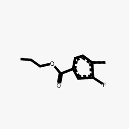 CCCOC(=O)c1ccc(C)c(F)c1